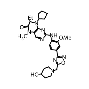 CCC1C(=O)N(C)c2cnc(Nc3ccc(-c4noc(CN5CCC(O)CC5)n4)cc3OC)nc2N1C1CCCC1